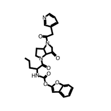 CCCC(NC(=O)Oc1cc2ccccc2o1)C(=O)N1CCC2C1C(=O)CN2C(=O)Cc1cccnc1